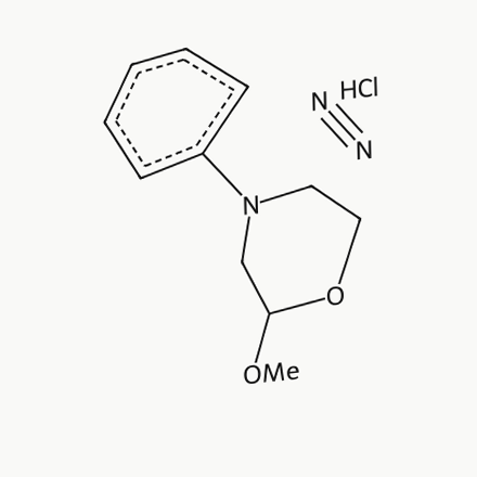 COC1CN(c2ccccc2)CCO1.Cl.N#N